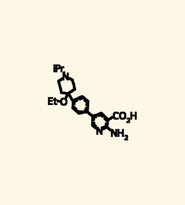 CCOC1(c2ccc(-c3cnc(N)c(C(=O)O)c3)cc2)CCN(C(C)C)CC1